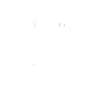 CC(C)(C)C1=CC(Br)C=CN1